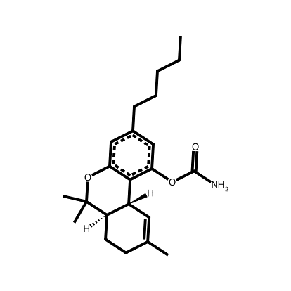 CCCCCc1cc(OC(N)=O)c2c(c1)OC(C)(C)[C@@H]1CCC(C)=C[C@@H]21